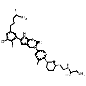 Cc1cc(-n2cc3cc(-c4cc(CCC[C@H](C)N)cc(Cl)c4F)[nH]c3nc2=O)cnc1[C@@H]1CCC[C@@H](CCNC(=N)CN)N1